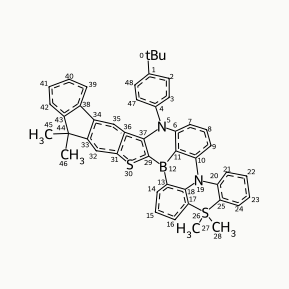 CC(C)(C)c1ccc(N2c3cccc4c3B(c3cccc5c3N4c3ccccc3S5(C)C)c3sc4cc5c(cc4c32)-c2ccccc2C5(C)C)cc1